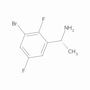 C[C@@H](N)c1cc(F)cc(Br)c1F